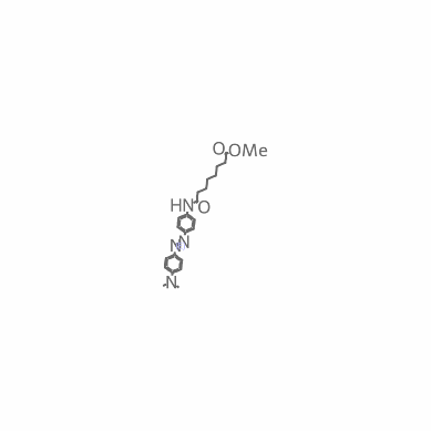 COC(=O)CCCCCCC(=O)Nc1ccc(/N=N/c2ccc(N(C)C)cc2)cc1